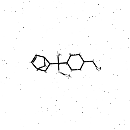 COC(O)(C1CCC(CO)CC1)C1CC2C=CC1C2